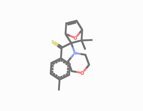 Cc1ccc(C(=S)C2(N3CCOCC3)C3C=CC(O3)C2(C)C)cc1